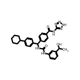 CC(O)c1cccc(NC(=O)NC(c2ccc(C(=O)Nc3nn[nH]n3)cc2)c2ccc(C3CCCCC3)cc2)c1